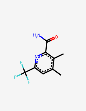 Cc1cc(C(F)(F)F)nc(C(N)=O)c1C